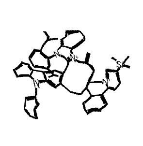 C=C1CC2C(CCc3cc4c(cc3-c3n(-c5c(C(C)C)cccc5C(C)C)c5ccccc5[n+]31)c1ccccc1n4-c1ccccc1)c1ccccc1-c1ccc([Si](C)(C)C)c[n+]12